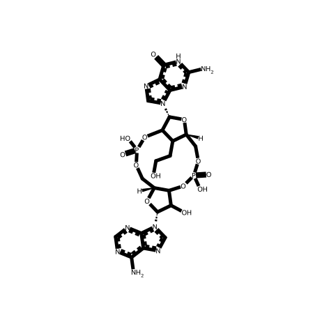 Nc1nc2c(ncn2[C@@H]2O[C@@H]3COP(=O)(O)OC4C(O)[C@H](n5cnc6c(N)ncnc65)O[C@@H]4COP(=O)(O)OC2C3CCO)c(=O)[nH]1